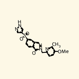 COc1ccc(Cn2ncc3cc(S(=O)(=O)c4cn[nH]c4)ccc3c2=O)nc1C